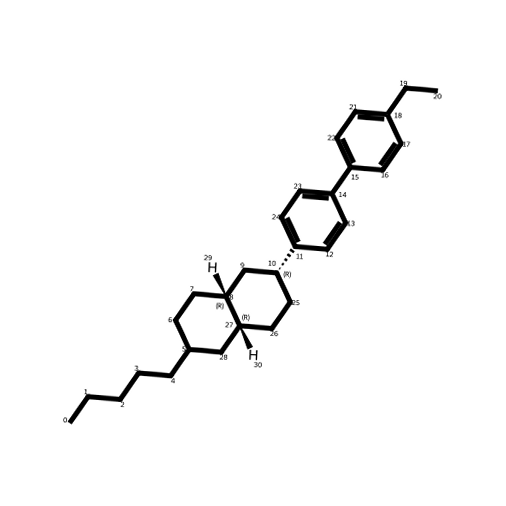 CCCCCC1CC[C@@H]2C[C@H](c3ccc(-c4ccc(CC)cc4)cc3)CC[C@@H]2C1